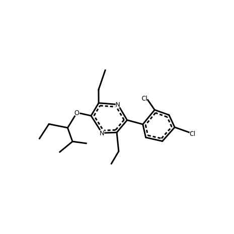 CCc1nc(-c2ccc(Cl)cc2Cl)c(CC)nc1OC(CC)C(C)C